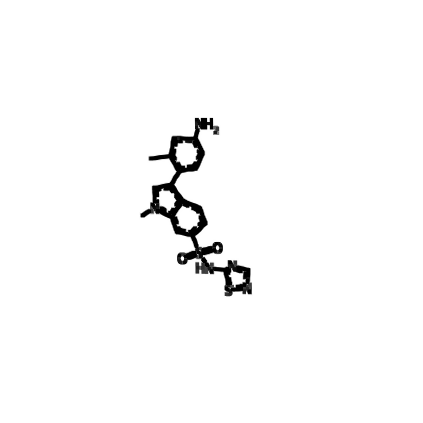 Cc1cc(N)ccc1-c1cn(C)c2cc(S(=O)(=O)Nc3ncns3)ccc12